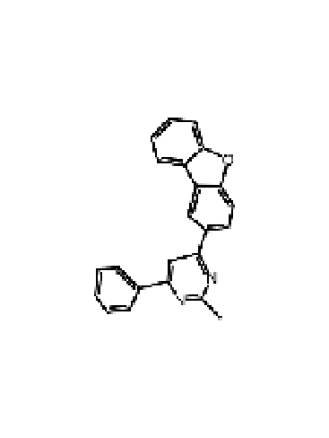 Cc1nc(-c2ccccc2)cc(-c2ccc3oc4ccccc4c3c2)n1